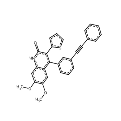 COc1cc2[nH]c(=O)c(-c3cccs3)c(-c3cccc(C#Cc4ccccc4)c3)c2cc1OC